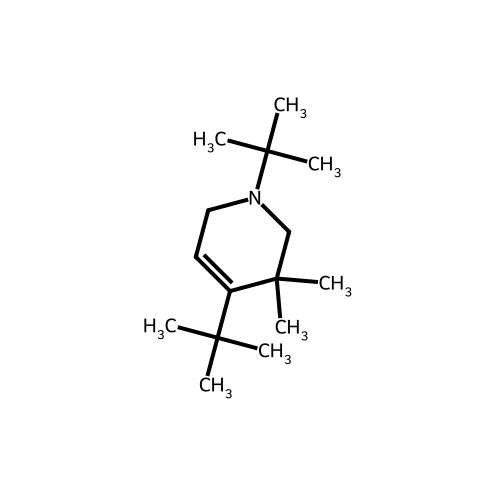 CC(C)(C)C1=CCN(C(C)(C)C)CC1(C)C